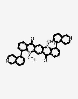 Cn1c2cc3c(=O)c4cccc(-c5cccc6cnccc56)c4n(C)c3cc2c(=O)c2cccc(-c3cccc4cnccc34)c21